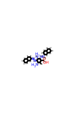 Cc1c(N)c(N=Nc2ccc3ccccc3c2)c(N)c(N=Nc2ccc3ccccc3c2)c1C(=O)O